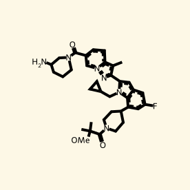 COC(C)(C)C(=O)N1CCC(c2cc(F)cc3cc(-c4nn5cc(C(=O)N6CCCC(N)C6)ccc5c4C)n(CC4CC4)c23)CC1